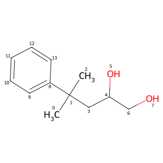 CC(C)(CC(O)CO)c1ccccc1